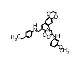 CCc1ccc(NCc2cc3cc4c(cc3n(CC(=O)Nc3cccc(OC)c3)c2=O)OCCO4)cc1